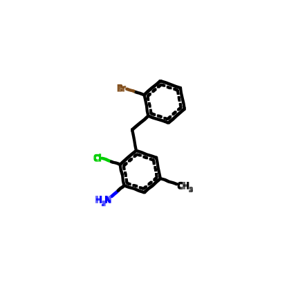 Cc1cc(N)c(Cl)c(Cc2ccccc2Br)c1